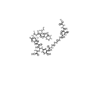 CC[C@H](C)[C@H](NC(=O)[C@H]1CCCCN1C)C(=O)N(C)[C@H](C[C@@H](OC(C)=O)c1nc(C(=O)N[C@@H](Cc2ccc(O)c(NC(=O)CCOCCOCCNC(=O)/C=C(/Br)C(=O)NCCC(=O)OC)c2)CC(C)C(=O)O)cs1)C(C)C